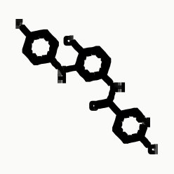 O=C(Nc1ccc(Cl)c(Nc2ccc(F)cc2)c1)c1ccc(Cl)nc1